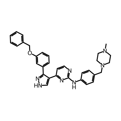 CN1CCN(Cc2ccc(Nc3nccc(-c4c[nH]nc4-c4cccc(OCc5ccccc5)c4)n3)cc2)CC1